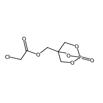 O=C(CCl)OCC12COP(=O)(OC1)OC2